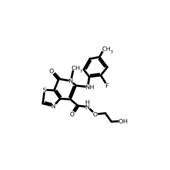 Cc1ccc(Nc2c(C(=O)NOCCO)c3ncsc3c(=O)n2C)c(F)c1